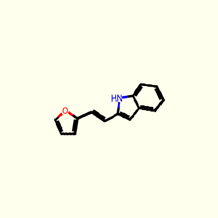 C(=Cc1ccco1)c1cc2ccccc2[nH]1